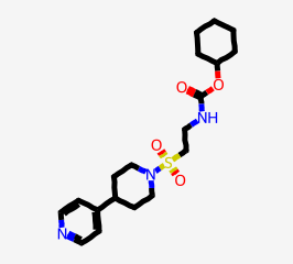 O=C(NCCS(=O)(=O)N1CCC(c2ccncc2)CC1)OC1CCCCC1